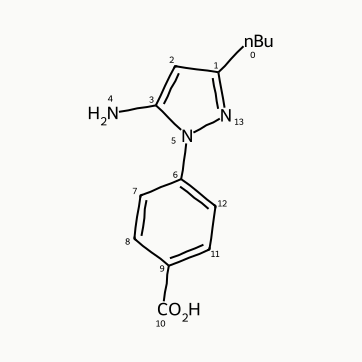 CCCCc1cc(N)n(-c2ccc(C(=O)O)cc2)n1